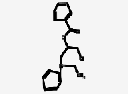 CCN(CC(CCl)OC(=O)c1ccccc1)c1ccccc1